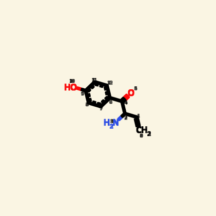 C=CC(N)C(=O)c1ccc(O)cc1